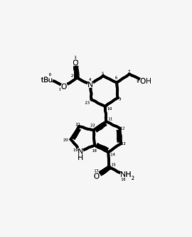 CC(C)(C)OC(=O)N1CC(CO)CC(c2ccc(C(N)=O)c3[nH]ccc23)C1